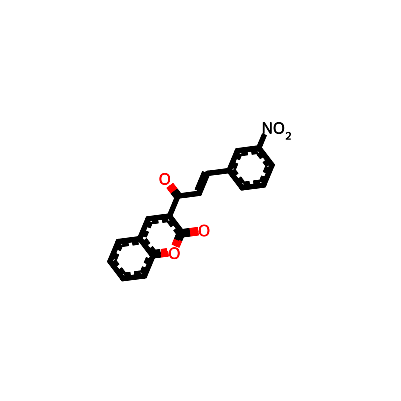 O=C(C=Cc1cccc([N+](=O)[O-])c1)c1cc2ccccc2oc1=O